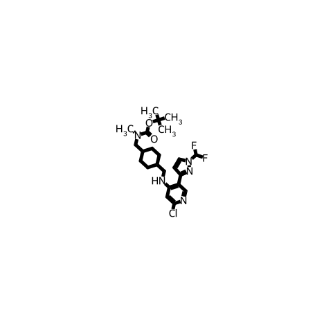 CN(CC1CCC(CNc2cc(Cl)ncc2-c2ccn(C(F)F)n2)CC1)C(=O)OC(C)(C)C